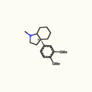 COc1ccc([C@@]23CCCCC2N(C)CC3)cc1OC